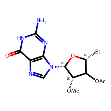 CC[C@H]1O[C@@H](n2cnc3c(=O)[nH]c(N)nc32)[C@@H](OC)C1OC(C)=O